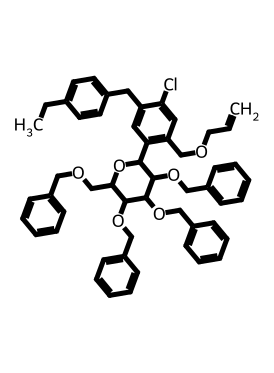 C=CCOCc1cc(Cl)c(Cc2ccc(CC)cc2)cc1C1OC(COCc2ccccc2)C(OCc2ccccc2)C(OCc2ccccc2)C1OCc1ccccc1